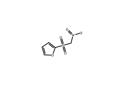 O=[N+]([O-])CS(=O)(=O)c1ccco1